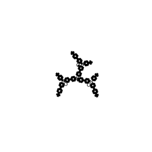 CC(C)(C)c1ccc(-c2ccc3c(c2)Oc2cc(C4=CCC(C)(N(c5ccc(-c6ccc7c(c6)Oc6cc(C8=CCC(C(C)(C)C)C=C8)ccc6N7c6ccc(C(C)(C)C)cc6)cc5)c5ccc(-c6ccc7c(c6)Oc6cc(-c8ccc(C(C)(C)C)cc8)ccc6N7c6ccc(C(C)(C)C)cc6)cc5)C=C4)ccc2N3c2ccc(C(C)(C)C)cc2)cc1